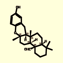 CC1(C)CCC[C@@]2(C=O)[C@H]1CC[C@]1(C)[C@@H]2CC[C@]2(C)Oc3ccc(O)cc3C[C@@H]12